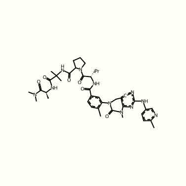 Cc1ccc(Nc2ncc3c(n2)N(C)C(=O)N(c2cc(C(=O)N[C@H](C(=O)N4CCCC4C(=O)NC(C)(C)C(=O)N[C@@H](C)C(=O)N(C)C)C(C)C)ccc2C)C3)cn1